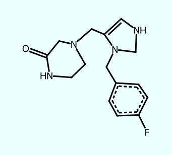 O=C1CN(CC2=CNCN2Cc2ccc(F)cc2)CCN1